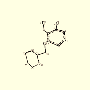 ClCc1c(Cl)cncc1OCC1CCCCO1